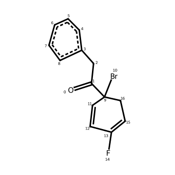 O=C(Cc1ccccc1)C1(Br)C=CC(F)=CC1